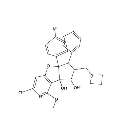 COc1nc(Cl)cc2c1C1(O)C(O)C(CN3CCC3)C(c3ccccc3)C1(c1ccc(Br)cc1)O2